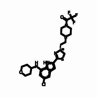 O=C(N1CCN(CC[C@@H]2CSC(c3cc4cc(Cl)cc(NC5CCOCC5)c4[nH]3)=N2)CC1)C(F)(F)F